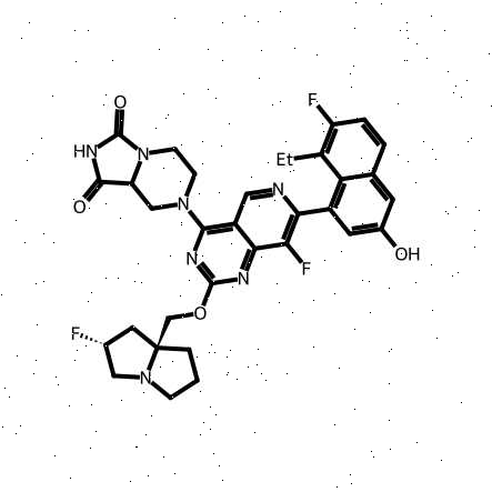 CCc1c(F)ccc2cc(O)cc(-c3ncc4c(N5CCN6C(=O)NC(=O)C6C5)nc(OC[C@@]56CCCN5C[C@H](F)C6)nc4c3F)c12